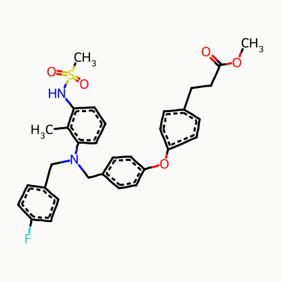 COC(=O)CCc1ccc(Oc2ccc(CN(Cc3ccc(F)cc3)c3cccc(NS(C)(=O)=O)c3C)cc2)cc1